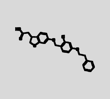 O=C(O)CC1COc2cc(OCc3ccc(OCCc4ccccc4)cc3Cl)ccc21